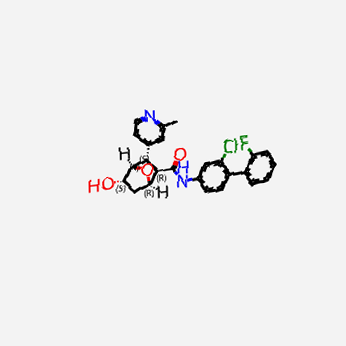 Cc1cc([C@H]2[C@H]3O[C@H](C[C@@H]3O)[C@@H]2C(=O)Nc2ccc(-c3ccccc3F)c(Cl)c2)ccn1